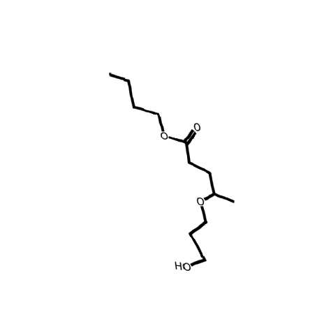 CCCCOC(=O)CCC(C)OCCCO